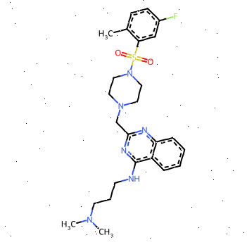 Cc1ccc(F)cc1S(=O)(=O)N1CCN(Cc2nc(NCCCN(C)C)c3ccccc3n2)CC1